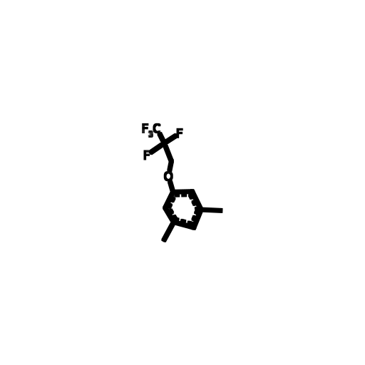 Cc1cc(C)cc(OCC(F)(F)C(F)(F)F)c1